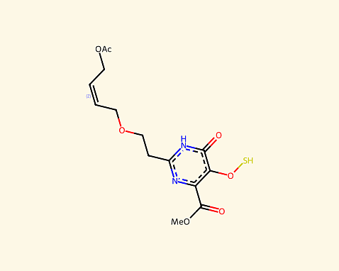 COC(=O)c1nc(CCOC/C=C\COC(C)=O)[nH]c(=O)c1OS